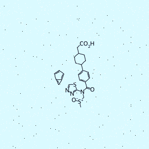 C[S+]([O-])CN(C(=O)c1ccc(C2CCC(CC(=O)O)CC2)cc1)c1nncs1.c1cc2cc-2c1